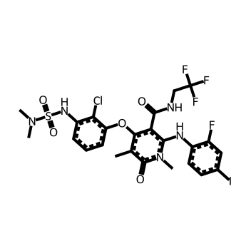 Cc1c(Oc2cccc(NS(=O)(=O)N(C)C)c2Cl)c(C(=O)NCC(F)(F)F)c(Nc2ccc(I)cc2F)n(C)c1=O